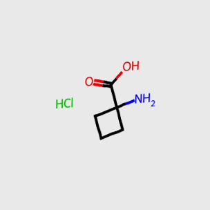 Cl.NC1(C(=O)O)CCC1